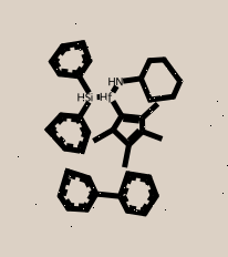 CC1=C(C)C(C)[C]([Hf]([NH]C2CCCCC2)[SiH](c2ccccc2)c2ccccc2)=C1C.c1ccc(-c2ccccc2)cc1